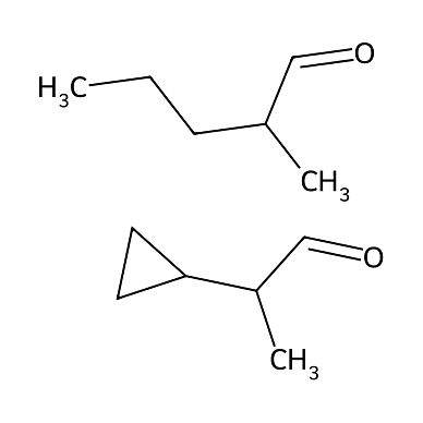 CC(C=O)C1CC1.CCCC(C)C=O